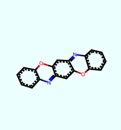 [c]1cccc2c1N=c1cc3c(cc1O2)=Nc1ccccc1O3